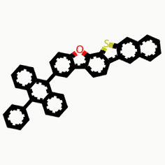 c1ccc(-c2c3ccccc3c(-c3ccc4oc5c(ccc6c7cc8ccccc8cc7sc65)c4c3)c3ccccc23)cc1